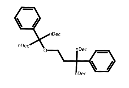 CCCCCCCCCCC(CCCCCCCCCC)(CCOC(CCCCCCCCCC)(CCCCCCCCCC)c1ccccc1)c1ccccc1